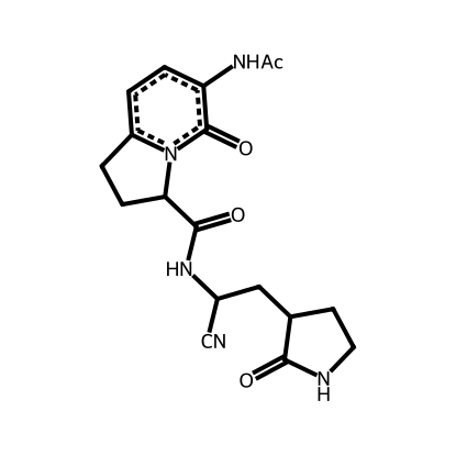 CC(=O)Nc1ccc2n(c1=O)C(C(=O)NC(C#N)CC1CCNC1=O)CC2